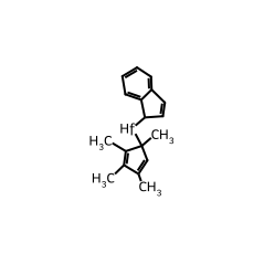 CC1=C[C](C)([Hf][CH]2C=Cc3ccccc32)C(C)=C1C